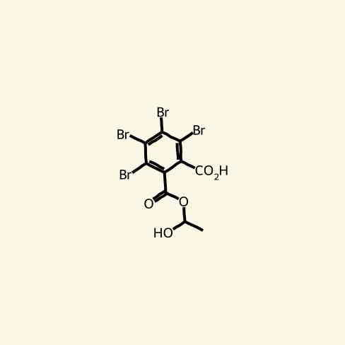 CC(O)OC(=O)c1c(Br)c(Br)c(Br)c(Br)c1C(=O)O